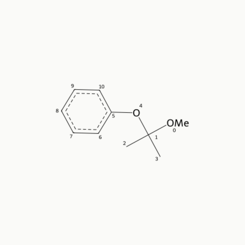 COC(C)(C)Oc1ccccc1